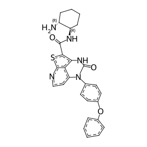 N[C@@H]1CCCC[C@H]1NC(=O)c1sc2nccc3c2c1NC(=O)N3c1ccc(Oc2ccccc2)cc1